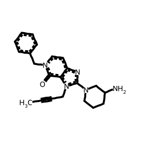 CC#CCn1c(N2CCCC(N)C2)nc2ccn(Cc3ccccc3)c(=O)c21